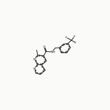 Cc1nc2ncccc2cc1C(=O)NCc1cccc(C(F)(F)F)c1